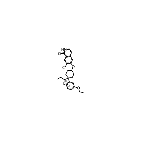 CCOc1cccc([C@]2([C@H](N)CC)CC[C@H](Oc3cc4cc[nH]c(=O)c4cc3Cl)CC2)c1